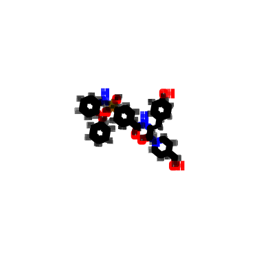 O=C(N[C@H](Cc1ccc(O)cc1)C(=O)N1CCC(CO)CC1)c1ccc(S(=O)(=O)Nc2ccccc2Oc2ccccc2)cc1